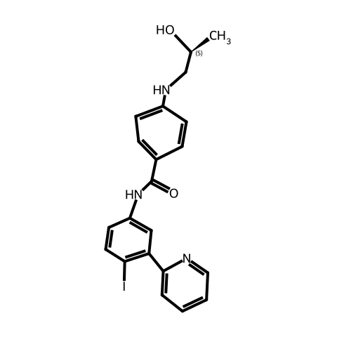 C[C@H](O)CNc1ccc(C(=O)Nc2ccc(I)c(-c3ccccn3)c2)cc1